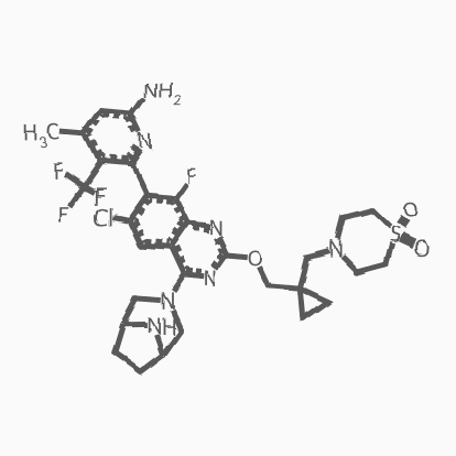 Cc1cc(N)nc(-c2c(Cl)cc3c(N4CC5CCC(C4)N5)nc(OCC4(CN5CCS(=O)(=O)CC5)CC4)nc3c2F)c1C(F)(F)F